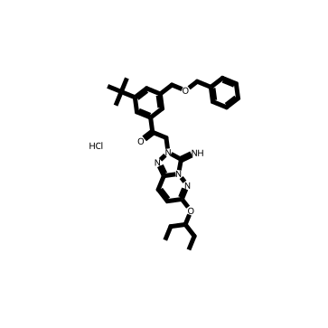 CCC(CC)Oc1ccc2nn(CC(=O)c3cc(COCc4ccccc4)cc(C(C)(C)C)c3)c(=N)n2n1.Cl